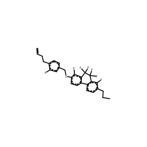 C=CCCc1ccc(COc2ccc3c(c2F)C(F)(F)C(F)(F)c2c-3ccc(CCC)c2F)cc1F